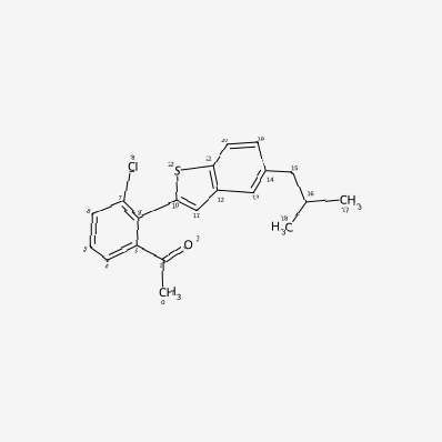 CC(=O)c1cccc(Cl)c1-c1cc2cc(CC(C)C)ccc2s1